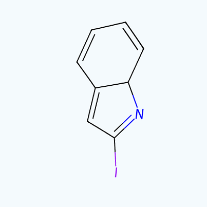 IC1=NC2C=CC=CC2=C1